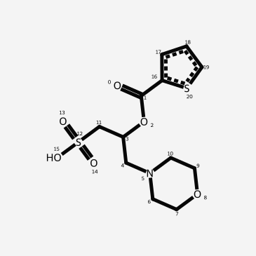 O=C(OC(CN1CCOCC1)CS(=O)(=O)O)c1cccs1